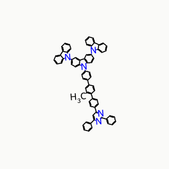 Cc1cc(-c2ccc(-n3c4ccc(-n5c6ccccc6c6ccccc65)cc4c4cc(-n5c6ccccc6c6ccccc65)ccc43)cc2)ccc1-c1ccc(-c2cc(-c3ccccc3)nc(-c3ccccc3)n2)cc1